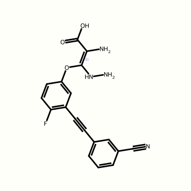 N#Cc1cccc(C#Cc2cc(O/C(NN)=C(/N)C(=O)O)ccc2F)c1